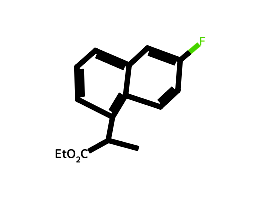 CCOC(=O)C(C)c1cccc2cc(F)ccc12